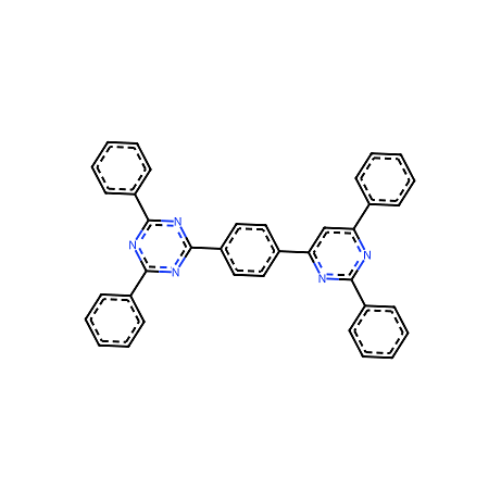 c1ccc(-c2cc(-c3ccc(-c4nc(-c5ccccc5)nc(-c5ccccc5)n4)cc3)nc(-c3ccccc3)n2)cc1